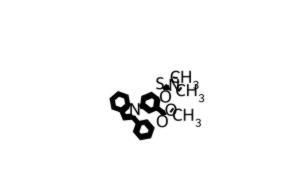 COC(=O)c1cc(-n2c(-c3ccccc3)cc3c2CCCC3)ccc1OC(=S)N(C)C